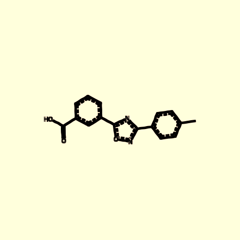 Cc1ccc(-c2noc(-c3cccc(C(=O)O)c3)n2)cc1